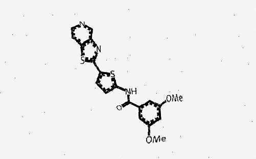 COc1cc(OC)cc(C(=O)Nc2ccc(-c3nc4cnccc4s3)s2)c1